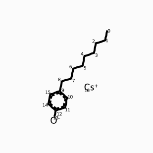 CCCCCCCCCc1ccc([O-])cc1.[Cs+]